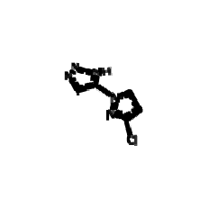 Clc1ccn(-c2[c]nn[nH]2)n1